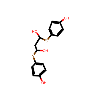 Oc1ccc(SC(O)CC(O)Sc2ccc(O)cc2)cc1